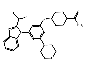 NC(=O)[C@H]1CC[C@H](Oc2cc(-n3c(C(F)F)nc4ccccc43)nc(N3CCOCC3)n2)CC1